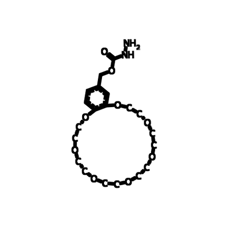 NNC(=O)OCc1ccc2c(c1)OCCOCCOCCOCCOCCOCCO2